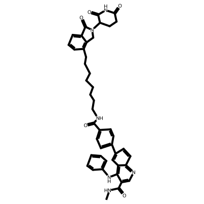 CNC(=O)c1cnc2ccc(-c3ccc(C(=O)NCCCCCCCCc4cccc5c4CN(C4CCC(=O)NC4=O)C5=O)cc3)cc2c1Nc1ccccc1